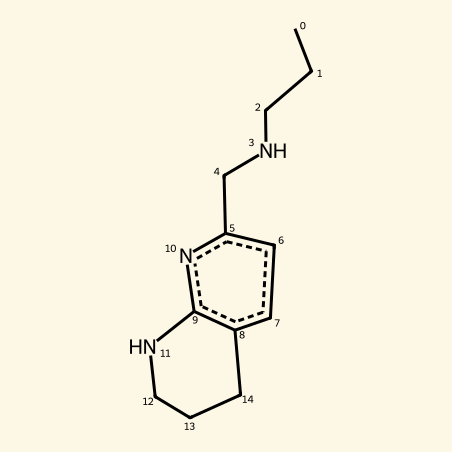 CCCNCc1ccc2c(n1)NCCC2